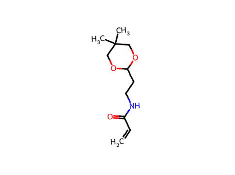 C=CC(=O)NCCC1OCC(C)(C)CO1